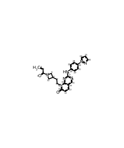 C=CC(=O)N1CC(CCn2c(=O)ccc3cnc(Nc4ccc(-n5cccn5)cc4)nc32)C1